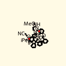 CONc1ccn([C@H]2C[C@H](OP(OCCC#N)N(C(C)C)C(C)C)[C@@H](C(OC(=O)c3ccccc3C(=O)Oc3ccccc3C#N)C(c3ccccc3)(c3ccccc3)c3ccccc3)O2)c(=O)n1